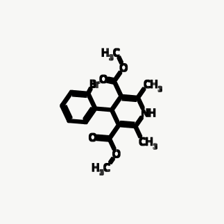 COC(=O)C1=C(C)NC(C)=C(C(=O)OC)C1c1ccccc1Br